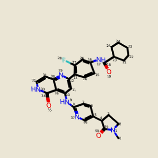 CN1CCC(c2ccc(Nc3cc(-c4ccc(NC(=O)C5CCCCC5)cc4F)nc4cc[nH]c(=O)c34)nc2)C1=O